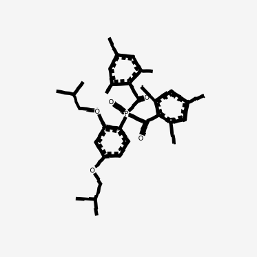 Cc1cc(C)c(C(=O)P(=O)(C(=O)c2c(C)cc(C)cc2C)c2ccc(OCC(C)C)cc2OCC(C)C)c(C)c1